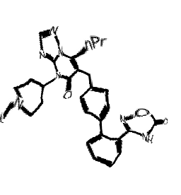 CCCc1c(Cc2ccc(-c3ccccc3-c3noc(=O)[nH]3)cc2)c(=O)n(C2CCN(CC)CC2)c2ncnn12